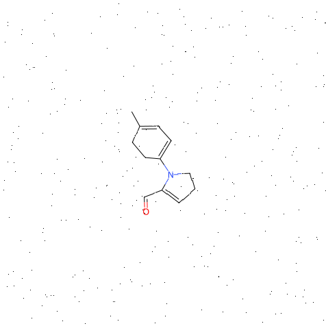 CC1=CC=C(N2CCC=C2C=O)CC1